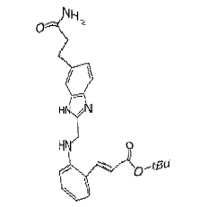 CC(C)(C)OC(=O)/C=C/c1ccccc1NCc1nc2ccc(CCC(N)=O)cc2[nH]1